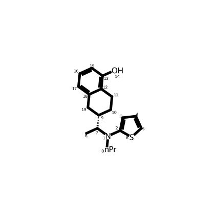 CCCN(c1cccs1)C(C)[C@H]1CCc2c(O)cccc2C1